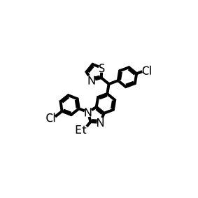 CCc1nc2ccc(C(c3ccc(Cl)cc3)c3nccs3)cc2n1-c1cccc(Cl)c1